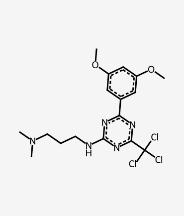 COc1cc(OC)cc(-c2nc(NCCCN(C)C)nc(C(Cl)(Cl)Cl)n2)c1